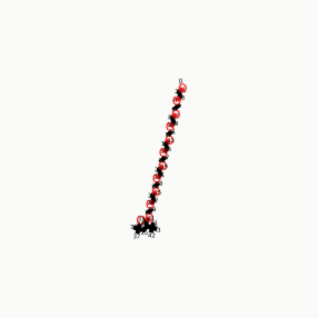 COCCOCCOCCOCCOCCOCCOCCOCCOCCOCCOC(=O)C(CC(C)(C)C)C(C)(C)C